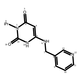 CC(C)n1c(=O)cc(NCc2cccnc2)[nH]c1=O